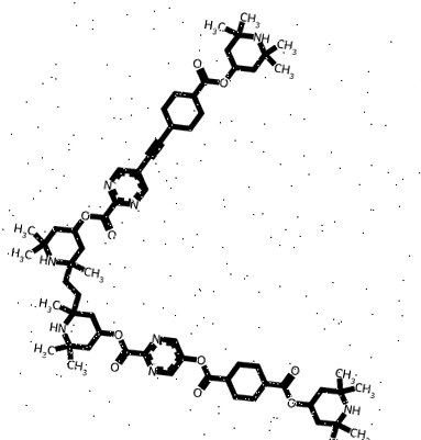 CC1(C)CC(OC(=O)C2CCC(C#Cc3cnc(C(=O)OC4CC(C)(C)NC(C)(CCC5(C)CC(OC(=O)c6ncc(OC(=O)C7CCC(C(=O)OC8CC(C)(C)NC(C)(C)C8)CC7)cn6)CC(C)(C)N5)C4)nc3)CC2)CC(C)(C)N1